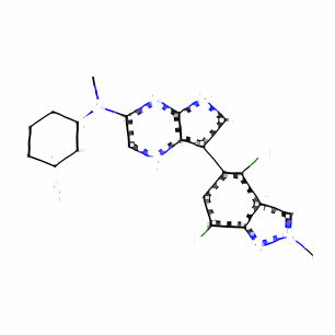 CN(c1cnc2c(-c3cc(F)c4nn(C)cc4c3Cl)c[nH]c2n1)[C@@H]1CCC[C@@H](N)C1